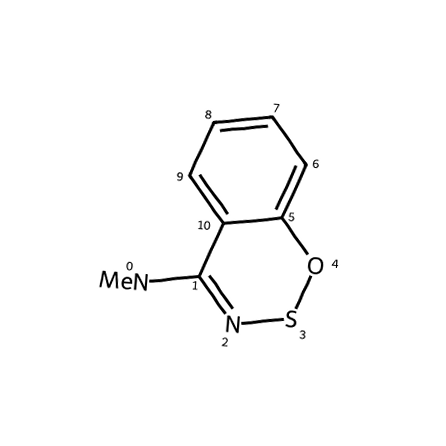 CNC1=NSOc2ccccc21